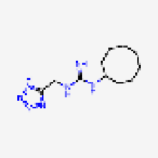 N=C(NCc1nnn[nH]1)NC1CCCCCCC1